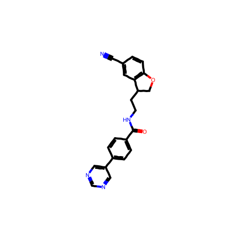 N#Cc1ccc2c(c1)C(CCNC(=O)c1ccc(-c3cncnc3)cc1)CO2